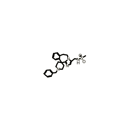 CS(=O)(=O)NCc1cnc2n1CCc1ccccc1C21CCN(Cc2ccccc2)CC1